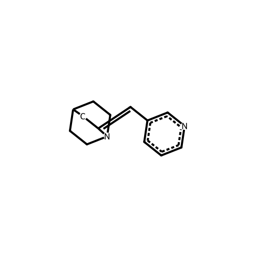 C(=C1\CC2CCN1CC2)/c1cccnc1